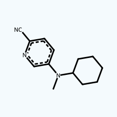 CN(c1ccc(C#N)nc1)C1CCCCC1